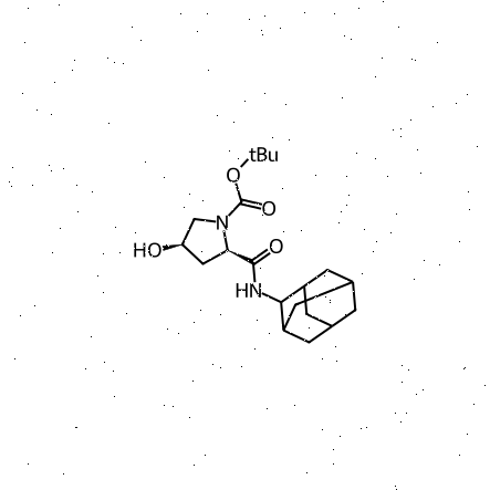 CC(C)(C)OC(=O)N1C[C@H](O)C[C@@H]1C(=O)NC1C2CC3CC(C2)CC1C3